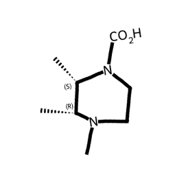 C[C@@H]1[C@H](C)N(C(=O)O)CCN1C